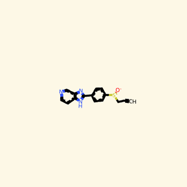 C#CC[S+]([O-])c1ccc(-c2nc3cnccc3[nH]2)cc1